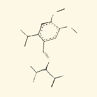 COc1cc(C=NC(C(C)C)C(C)C)c(C(C)C)cc1OC